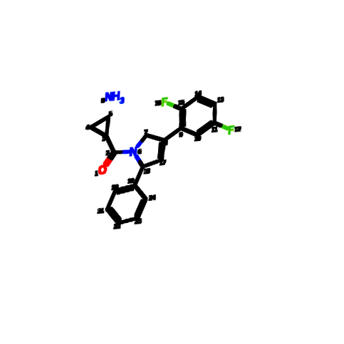 N.O=C(C1CC1)N1CC(c2cc(F)ccc2F)=CC1c1ccccc1